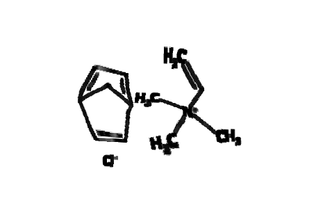 C1=CC2=CC=C1C2.C=C[N+](C)(C)C.[Cl-]